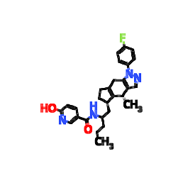 CCCC(C[C@H]1CCC2=C1[C@@H](C)c1cnn(-c3ccc(F)cc3)c1C2)NC(=O)c1ccc(O)nc1